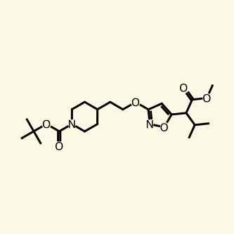 COC(=O)C(c1cc(OCCC2CCN(C(=O)OC(C)(C)C)CC2)no1)C(C)C